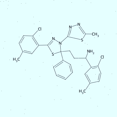 Cc1ccc(Cl)c(C2=NN(c3nnc(C)s3)C(CCC(N)c3cc(C)ccc3Cl)(c3ccccc3)S2)c1